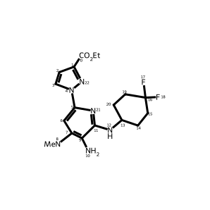 CCOC(=O)c1ccn(-c2cc(NC)c(N)c(NC3CCC(F)(F)CC3)n2)n1